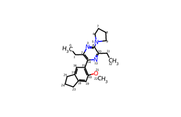 CCc1nc(N2CCCC2)c(CC)nc1-c1cc2c(cc1OC)CCC2